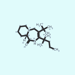 CCCC(C)(C)C1=C(C(C)(C)C)CN2CCCC[C@H]2C(=O)N1